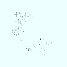 CC(C)(C)OC(=O)NC(C(=O)Nc1nnc(CCSCCc2nnc(NC(=O)C(NC(O)OC(C)(C)C)C3CCCC3)s2)s1)C1CCCC1